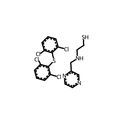 Clc1cccc(Cl)c1Sc1c(Cl)cccc1Cl.SCCNCc1cnccn1